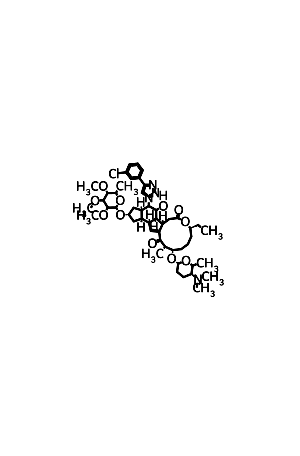 CC[C@H]1CCC[C@H](O[C@H]2CC[C@H](N(C)C)C(C)O2)[C@@H](C)C(=O)C2=C[C@H]3[C@@H]4C[C@H](O[C@@H]5OC(C)[C@H](OC)C(OC)C5OC)C[C@H]4C(n4cc(-c5cccc(Cl)c5)nn4)C(O)[C@H]3[C@@H]2CC(=O)O1